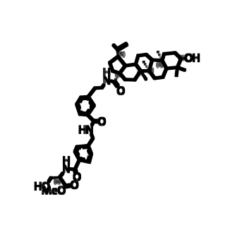 C=C(C)[C@@H]1CC[C@]2(C(=O)NCCc3cccc(C(=O)NCc4ccc(C(=O)N[C@H](CO)C(=O)OC)cc4)c3)CC[C@]3(C)C(CCC4[C@@]5(C)CC[C@H](O)C(C)(C)C5CC[C@]43C)C12